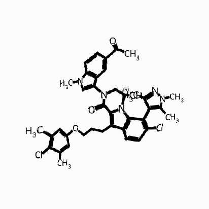 CC(=O)c1ccc2c(c1)c(N1C[C@@H](C)n3c(c(CCCOc4cc(C)c(Cl)c(C)c4)c4ccc(Cl)c(-c5c(C)nn(C)c5C)c43)C1=O)cn2C